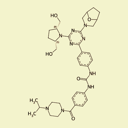 CC(C)N1CCN(C(=O)c2ccc(NC(=O)Nc3ccc(-c4nc(N5CC6CCC(C5)O6)nc(N5[C@H](CO)CC[C@@H]5CO)n4)cc3)cc2)CC1